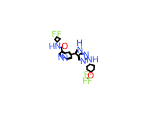 O=C(NC1CC(F)(F)C1)c1cnn2ccc(-c3c[nH]c4nc(N[C@H]5CC[C@@H](OC(F)(F)F)CC5)ncc34)cc12